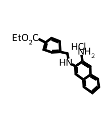 CCOC(=O)c1ccc(CNc2cc3ccccc3cc2N)cc1.Cl